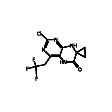 O=C1Nc2c(CC(F)(F)F)nc(Cl)nc2NC12CC2